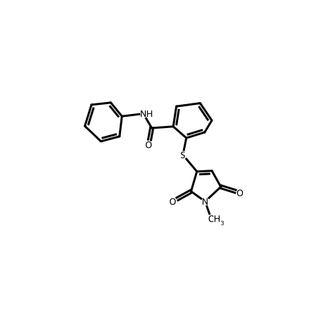 CN1C(=O)C=C(Sc2ccccc2C(=O)Nc2ccccc2)C1=O